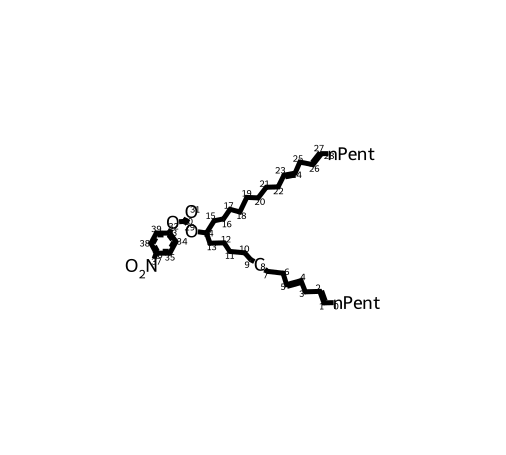 CCCCCC=CCC=CCCCCCCCCC(CCCCCCCCC=CCC=CCCCCC)OC(=O)Oc1ccc([N+](=O)[O-])cc1